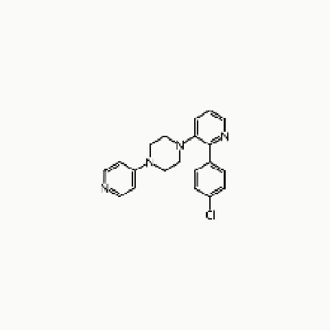 Clc1ccc(-c2ncccc2N2CCN(c3ccncc3)CC2)cc1